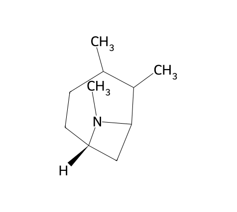 CC1CC[C@H]2CC(C1C)N2C